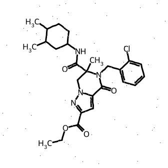 CCOC(=O)c1cc2n(n1)CC(C)(C(=O)NC1CCC(C)C(C)C1)N(Cc1ccccc1Cl)C2=O